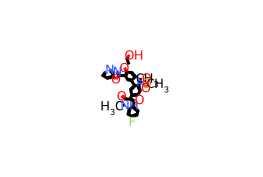 CNC(=O)c1c(-c2ccc(F)cc2)oc2cc(N(C)S(C)(=O)=O)c(-c3ccc(OCCO)c(-c4nc5ncccc5o4)c3)cc12